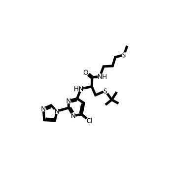 CSCCCNC(=O)C(CSC(C)(C)C)Nc1cc(Cl)nc(-n2ccnc2)n1